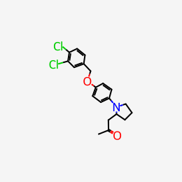 CC(=O)CC1CCCN1c1ccc(OCc2ccc(Cl)c(Cl)c2)cc1